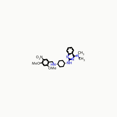 COc1cc(OC)c([N+](=O)[O-])cc1CN[C@H]1CC[C@@H](Nc2nc(N(C)C)c3ccccc3n2)CC1